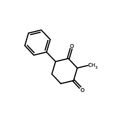 CC1C(=O)CCC(c2ccccc2)C1=O